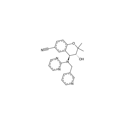 CC1(C)Oc2ccc(C#N)cc2[C@H](N(Cc2cccnc2)c2ncccn2)[C@H]1O